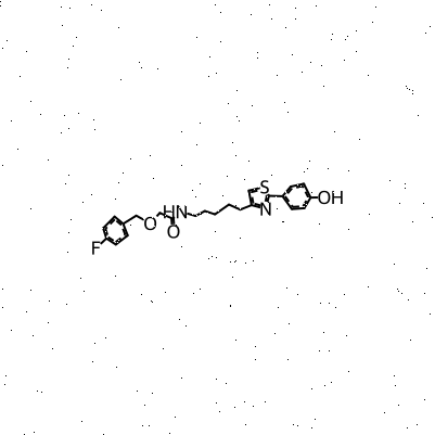 O=C(COCc1ccc(F)cc1)NCCCCCc1csc(-c2ccc(O)cc2)n1